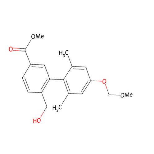 COCOc1cc(C)c(-c2cc(C(=O)OC)ccc2CO)c(C)c1